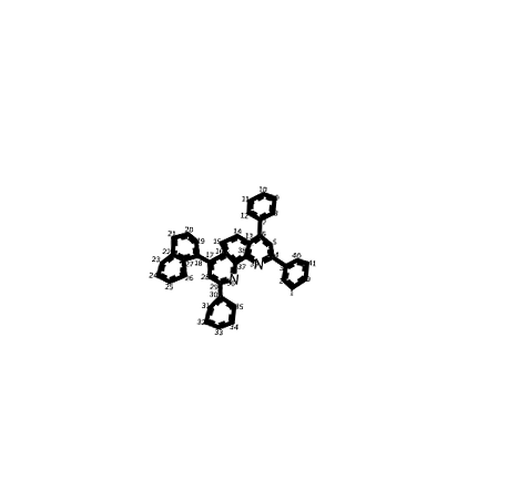 c1ccc(-c2cc(-c3ccccc3)c3ccc4c(-c5cccc6ccccc56)cc(-c5ccccc5)nc4c3n2)cc1